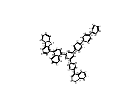 C1=CC2Sc3c(-c4ccc(-c5nc(-c6ccc(C7=CCCc8ccccc87)cc6)cc(-c6ccc(-c7ccc(-c8ccccc8)cc7)cc6)n5)c5ccccc45)cccc3C2C=C1